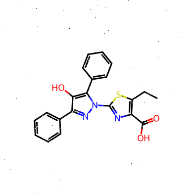 CCc1sc(-n2nc(-c3ccccc3)c(O)c2-c2ccccc2)nc1C(=O)O